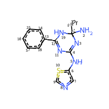 CC(C)C1(N)N=C(Nc2cncs2)N=C(c2ccccc2)N1